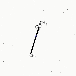 CCCCCCCCCCC/C=C/C=CC=CC(=O)OCC